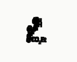 CCOC(=O)Cc1ccccc1OCc1cc2ccoc2c(-c2ccnc(CNC(=O)OC(C)(C)C)c2)c1F